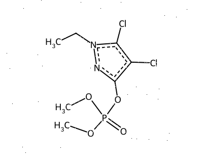 CCn1nc(OP(=O)(OC)OC)c(Cl)c1Cl